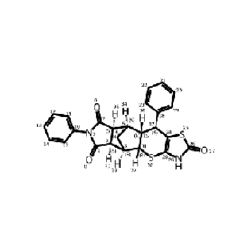 O=C1[C@@H]2[C@H]3C[C@@H]([C@@H]2C(=O)N1c1ccccc1)[C@@H]1[C@@H](c2ccccc2)c2sc(=O)[nH]c2S[C@H]31